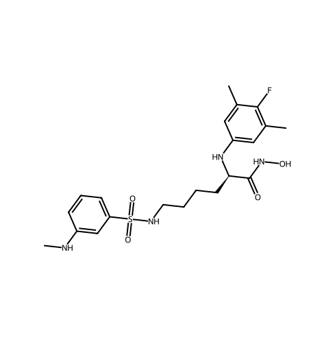 CNc1cccc(S(=O)(=O)NCCCC[C@@H](Nc2cc(C)c(F)c(C)c2)C(=O)NO)c1